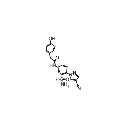 N#Cc1cnn(-c2ccc(NC(=O)Cc3ccc(O)cc3)cc2S(N)(=O)=O)c1